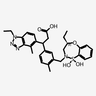 CC[C@@H]1CN(Cc2cc(C(CC(=O)O)c3ccc4c(nnn4CC)c3C)ccc2C)S(O)(O)c2ccccc2O1